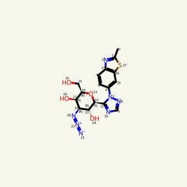 Cc1nc2ccc(-n3ncnc3[C@@H]3O[C@H](CO)[C@H](O)[C@H](N=[N+]=[N-])[C@H]3O)cc2s1